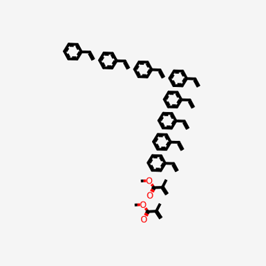 C=C(C)C(=O)OC.C=C(C)C(=O)OC.C=Cc1ccccc1.C=Cc1ccccc1.C=Cc1ccccc1.C=Cc1ccccc1.C=Cc1ccccc1.C=Cc1ccccc1.C=Cc1ccccc1.C=Cc1ccccc1